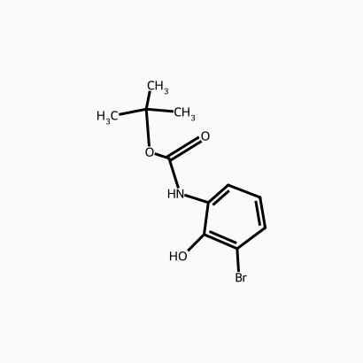 CC(C)(C)OC(=O)Nc1cccc(Br)c1O